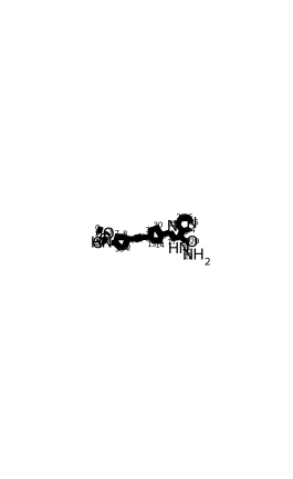 CCS(=O)(=O)Nc1ccc(C#Cc2ccc(-c3cc(C(=O)NN)c4cnccc4n3)cc2)cc1